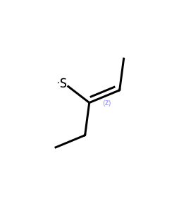 C/C=C(\[S])CC